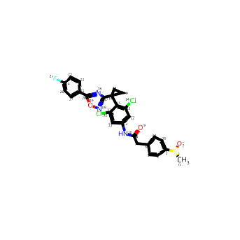 C[S+]([O-])c1ccc(CC(=O)Nc2cc(Cl)c(C3(c4noc(-c5ccc(F)cc5)n4)CC3)c(Cl)c2)cc1